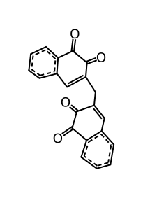 O=C1C(=O)c2ccccc2C=C1CC1=Cc2ccccc2C(=O)C1=O